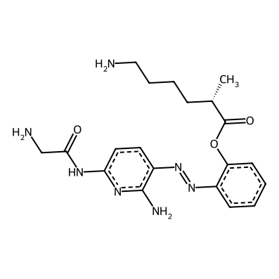 C[C@@H](CCCCN)C(=O)Oc1ccccc1/N=N/c1ccc(NC(=O)CN)nc1N